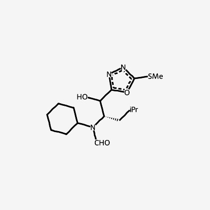 CSc1nnc(C(O)[C@H](CC(C)C)N(C=O)C2CCCCC2)o1